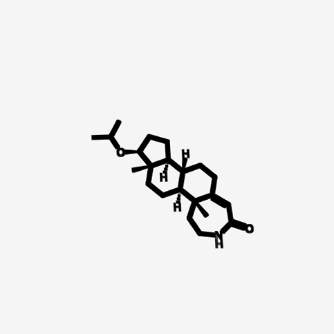 CC(C)O[C@H]1CC[C@H]2[C@@H]3CCC4=CC(=O)NCC[C@]4(C)[C@H]3CC[C@]12C